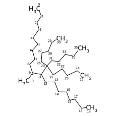 CCCCCCCCC[C](C)C(CCCCCCCC)C(CCCCC)(CCCCC)CCCCC